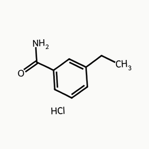 CCc1cccc(C(N)=O)c1.Cl